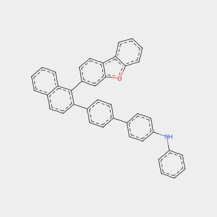 c1ccc(Nc2ccc(-c3ccc(-c4ccc5ccccc5c4-c4ccc5c(c4)oc4ccccc45)cc3)cc2)cc1